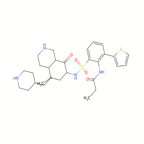 CCC(=O)Nc1c(-c2cccs2)cccc1S(=O)(=O)NC(CCCC1CCNCC1)C(=O)C1CNCCC1CC